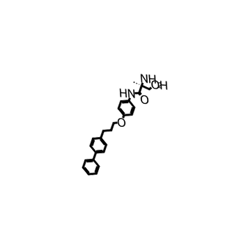 C[C@](N)(CO)C(=O)Nc1ccc(OCCCc2ccc(-c3ccccc3)cc2)cc1